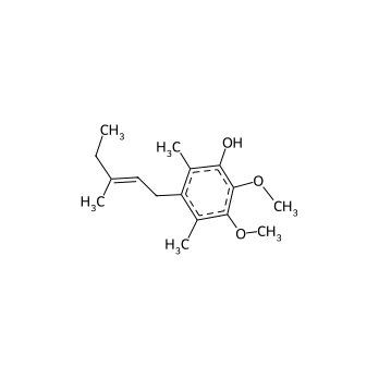 CC/C(C)=C/Cc1c(C)c(O)c(OC)c(OC)c1C